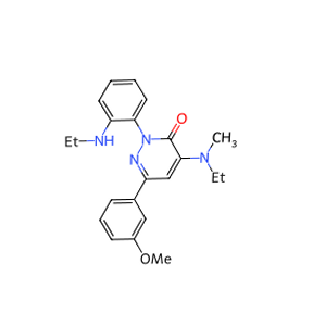 CCNc1ccccc1-n1nc(-c2cccc(OC)c2)cc(N(C)CC)c1=O